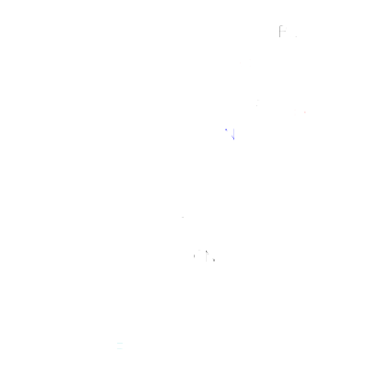 CC(C)(C)OC(=O)N1CCCC(C#N)(c2cccc(F)c2)CC1